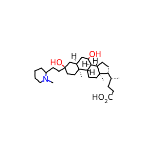 C[C@H](CCC(=O)O)[C@H]1CC[C@H]2[C@@H]3[C@H](O)C[C@@H]4C[C@@](O)(CCC5CCCCN5C)CC[C@]4(C)[C@H]3CC[C@]12C